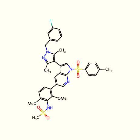 COc1ccc(-c2cnc3c(c2)c(-c2c(C)nn(Cc4cccc(F)c4)c2C)cn3S(=O)(=O)c2ccc(C)cc2)c(OC)c1NS(C)(=O)=O